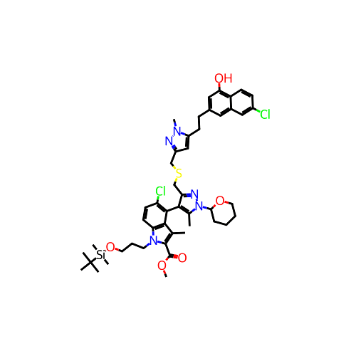 COC(=O)c1c(C)c2c(-c3c(CSCc4cc(CCc5cc(O)c6ccc(Cl)cc6c5)n(C)n4)nn(C4CCCCO4)c3C)c(Cl)ccc2n1CCCO[Si](C)(C)C(C)(C)C